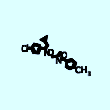 Cc1ccc(-c2nc(CO/N=C(\CC3CC3)c3ccc(Cl)cc3)co2)cc1